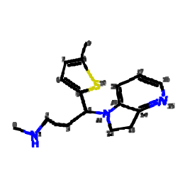 CNCCC(c1ccc(C)s1)N1CCc2ncccc21